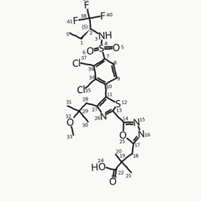 CC[C@H](NS(=O)(=O)c1ccc(-c2sc(-c3nnc(CC(C)(C)C(=O)O)o3)nc2CC(C)(C)OC)c(Cl)c1Cl)C(F)(F)F